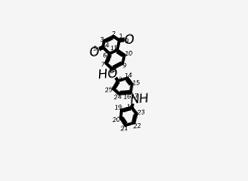 O=C1C=CC(=O)c2ccccc21.Oc1ccc(Nc2ccccc2)cc1